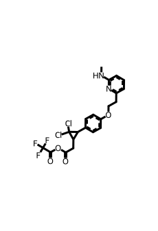 CNc1cccc(CCOc2ccc(C3C(CC(=O)OC(=O)C(F)(F)F)C3(Cl)Cl)cc2)n1